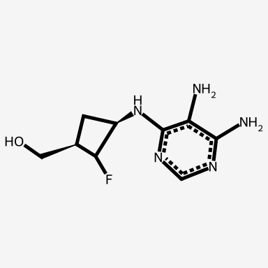 Nc1ncnc(N[C@@H]2C[C@H](CO)C2F)c1N